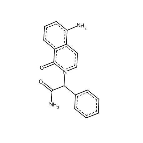 NC(=O)C(c1ccccc1)n1ccc2c(N)cccc2c1=O